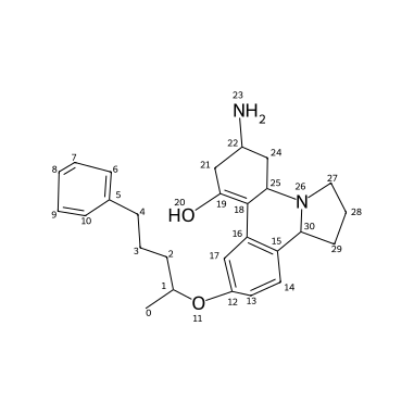 CC(CCCc1ccccc1)Oc1ccc2c(c1)C1=C(O)CC(N)CC1N1CCCC21